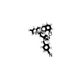 CC(C)C[C@@H](CNCc1cccc(Cl)c1Cl)NC(=O)Cc1cncn1Cc1ccc(C#N)cc1